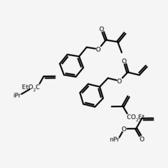 C=C(C)C(=O)OCC.C=C(C)C(=O)OCc1ccccc1.C=CC(=O)OCC.C=CC(=O)OCCC.C=CC(=O)OCc1ccccc1.CC(C)C